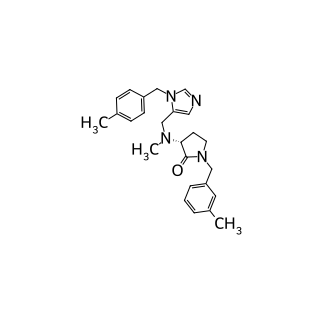 Cc1ccc(Cn2cncc2CN(C)[C@@H]2CCN(Cc3cccc(C)c3)C2=O)cc1